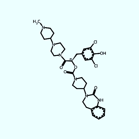 CN1CCC(N2CCN(C(=O)[C@@H](Cc3cc(Cl)c(O)c(Cl)c3)OC(=O)N3CCC(N4CCc5ccccc5NC4=O)CC3)CC2)CC1